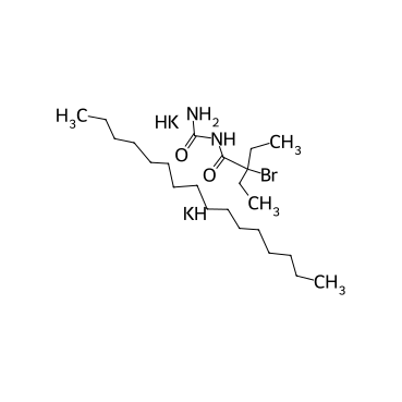 CCC(Br)(CC)C(=O)NC(N)=O.CCCCCCCCCCCCCCCC.[KH].[KH]